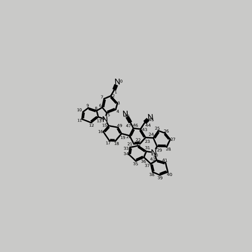 N#Cc1ccc2c(c1)c1ccccc1n2-c1cccc(-c2ccc(-c3ccccc3-n3c4ccccc4c4ccccc43)c(C#N)c2C#N)c1